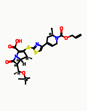 C=CCOC(=O)N1CC=C(c2csc(SC3=C(C(=O)O)N4C(=O)[C@H]([C@@H](C)O[Si](C)(C)C)[C@H]4[C@H]3C)n2)C[C@H]1C